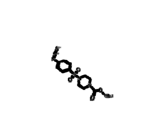 CC(C)(C)OC(=O)N1CCN(S(=O)(=O)c2ccc(N=[N+]=[N-])cc2)CC1